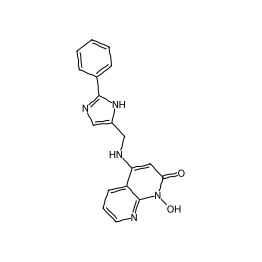 O=c1cc(NCc2cnc(-c3ccccc3)[nH]2)c2cccnc2n1O